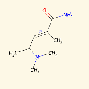 C/C(=C\C(C)N(C)C)C(N)=O